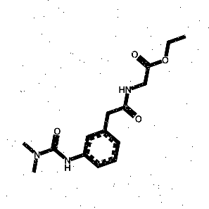 CCOC(=O)CNC(=O)Cc1cccc(NC(=O)N(C)C)c1